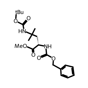 COC(=O)[C@H](CC(C)(C)NC(=O)OC(C)(C)C)NC(=O)OCc1ccccc1